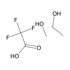 CCO.CO.O=C(O)C(F)(F)F